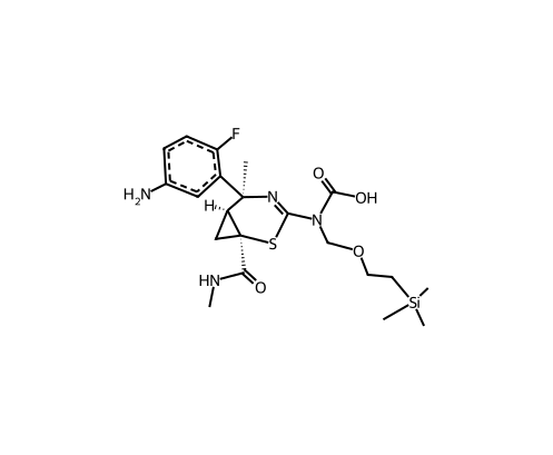 CNC(=O)[C@]12C[C@H]1[C@@](C)(c1cc(N)ccc1F)N=C(N(COCC[Si](C)(C)C)C(=O)O)S2